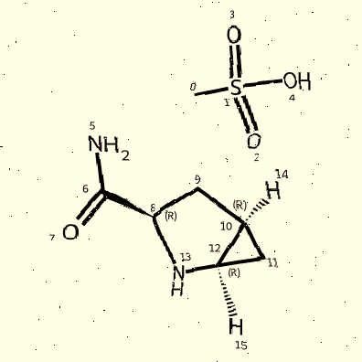 CS(=O)(=O)O.NC(=O)[C@H]1C[C@H]2C[C@H]2N1